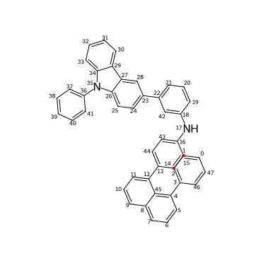 c1ccc(-c2cccc3cccc(-c4ccc(Nc5cccc(-c6ccc7c(c6)c6ccccc6n7-c6ccccc6)c5)cc4)c23)cc1